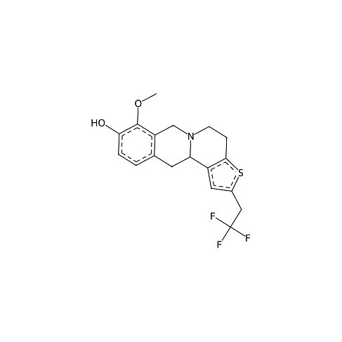 COc1c(O)ccc2c1CN1CCc3sc(CC(F)(F)F)cc3C1C2